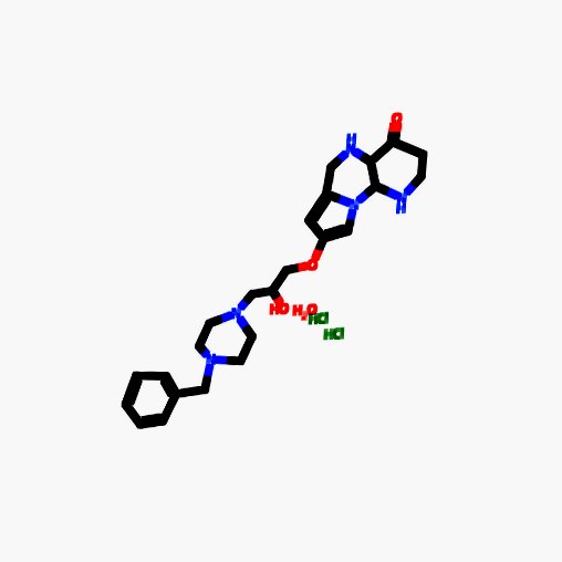 Cl.Cl.O.O=C1CCNC2C1NCc1cc(OCC(O)CN3CCN(Cc4ccccc4)CC3)cn12